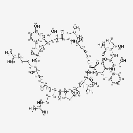 CC(C)C[C@@H]1NC(=O)CSSC[C@@H](C(=O)N[C@@H](Cc2ccccc2)C(=O)N[C@@H](CO)C(=O)N[C@H](C(N)=O)[C@@H](C)O)NC(=O)[C@H](C(C)C)NC(=O)[C@@H]2CCCN2C(=O)[C@H](CCCNC(=N)N)NC(=O)CNC(=O)[C@H](CCCNC(=N)N)NC(=O)[C@H](Cc2ccc(O)cc2)NC(=O)[C@H](CO)NC1=O